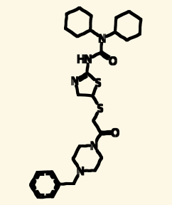 O=C(CSC1CN=C(NC(=O)N(C2CCCCC2)C2CCCCC2)S1)N1CCN(Cc2ccccc2)CC1